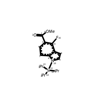 COC(=O)c1ccc2c(ccn2[Si](C(C)C)(C(C)C)C(C)C)c1F